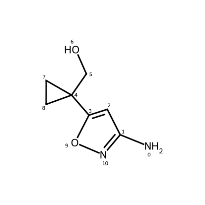 Nc1cc(C2(CO)CC2)on1